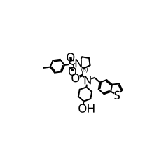 Cc1ccc(S(=O)(=O)N2CCC[C@H]2C(=O)N(Cc2ccc3sccc3c2)C2CCC(O)CC2)cc1